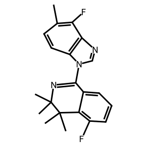 Cc1ccc2c(ncn2C2=NC(C)(C)C(C)(C)c3c(F)cccc32)c1F